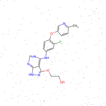 Cc1ccc(Oc2ccc(Nc3ncnc4[nH]nc(OCCO)c34)cc2F)cn1